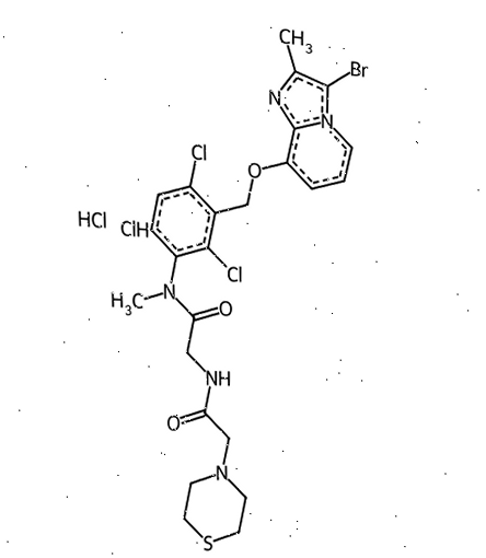 Cc1nc2c(OCc3c(Cl)ccc(N(C)C(=O)CNC(=O)CN4CCSCC4)c3Cl)cccn2c1Br.Cl.Cl